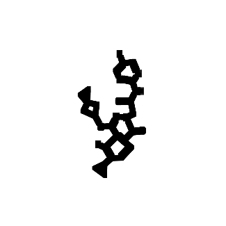 O=C(Cn1nc(OC2CC3(CC3)C2)c2c(F)c(C3CC3)ccc2c1=O)Nc1ncc(F)cn1